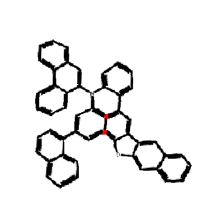 c1cc(-c2cccc3ccccc23)cc(N(c2ccccc2-c2ccc3oc4cc5ccccc5cc4c3c2)c2cc3ccccc3c3ccccc23)c1